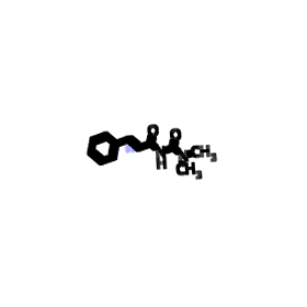 CN(C)C(=O)NC(=O)/C=C/c1ccccc1